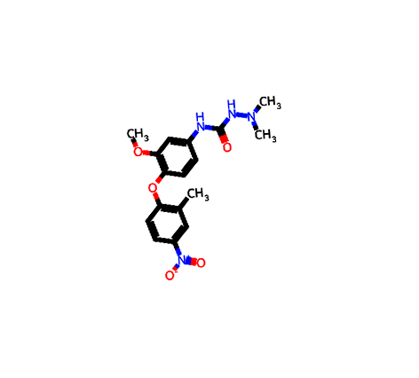 COc1cc(NC(=O)NN(C)C)ccc1Oc1ccc([N+](=O)[O-])cc1C